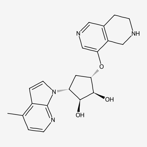 Cc1ccnc2c1ccn2[C@@H]1C[C@H](Oc2cncc3c2CNCC3)[C@@H](O)[C@H]1O